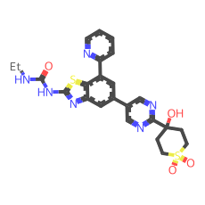 CCNC(=O)Nc1nc2cc(-c3cnc(C4(O)CCS(=O)(=O)CC4)nc3)cc(-c3ccccn3)c2s1